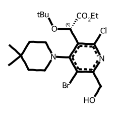 CCOC(=O)[C@@H](OC(C)(C)C)c1c(Cl)nc(CO)c(Br)c1N1CCC(C)(C)CC1